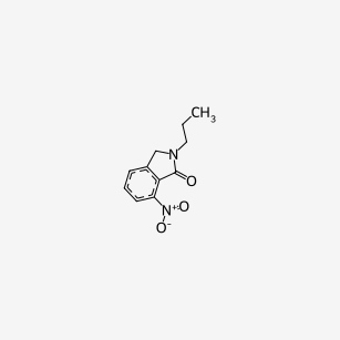 CCCN1Cc2cccc([N+](=O)[O-])c2C1=O